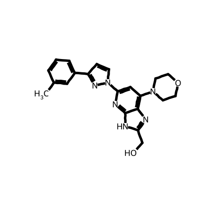 Cc1cccc(-c2ccn(-c3cc(N4CCOCC4)c4nc(CO)[nH]c4n3)n2)c1